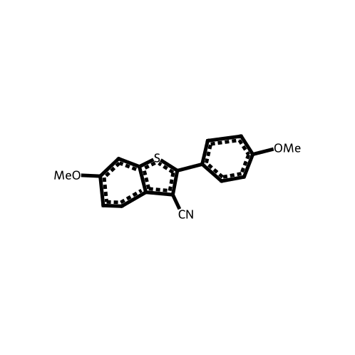 COc1ccc(-c2sc3cc(OC)ccc3c2C#N)cc1